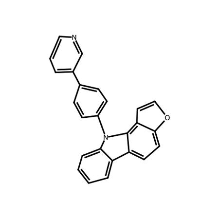 c1cncc(-c2ccc(-n3c4ccccc4c4ccc5occc5c43)cc2)c1